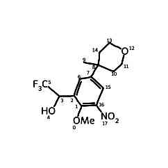 COc1c(C(O)C(F)(F)F)cc(C2(C)CCOCC2)cc1[N+](=O)[O-]